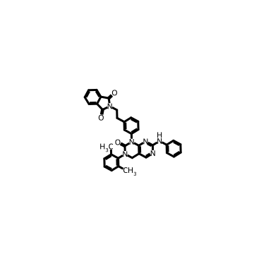 Cc1cccc(C)c1N1Cc2cnc(Nc3ccccc3)nc2N(c2cccc(CCN3C(=O)c4ccccc4C3=O)c2)C1=O